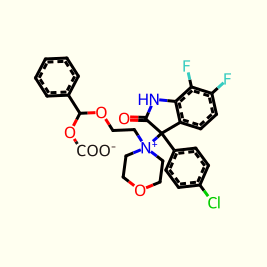 O=C([O-])OC(OCC[N+]1(C2(c3ccc(Cl)cc3)C(=O)Nc3c2ccc(F)c3F)CCOCC1)c1ccccc1